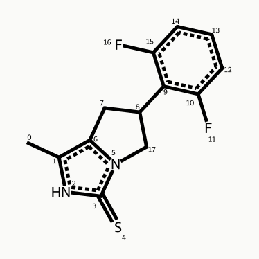 Cc1[nH]c(=S)n2c1CC(c1c(F)cccc1F)C2